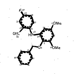 COc1cc(OC)c(OCc2ccccc2)c(Pc2ccc(F)cc2C=O)c1